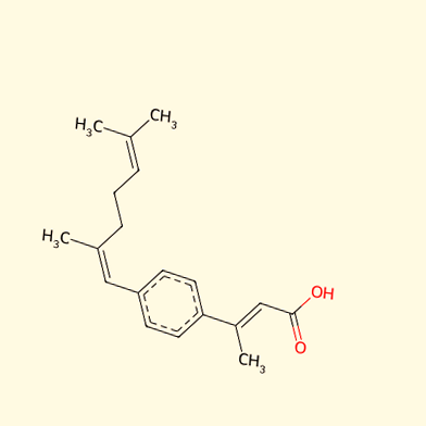 CC(C)=CCCC(C)=Cc1ccc(C(C)=CC(=O)O)cc1